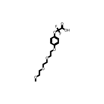 COCCOCCOCCOc1ccc(OC(F)(F)C(=O)O)cc1